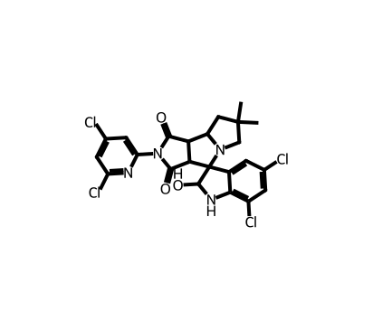 CC1(C)CC2C3C(=O)N(c4cc(Cl)cc(Cl)n4)C(=O)C3C3(c4cc(Cl)cc(Cl)c4NC3O)N2C1